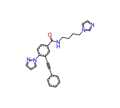 O=C(NCCCCn1ccnc1)c1ccc(-n2cccn2)c(C#Cc2ccccc2)c1